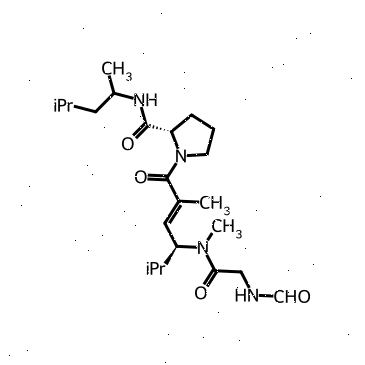 C/C(=C\[C@H](C(C)C)N(C)C(=O)CNC=O)C(=O)N1CCC[C@H]1C(=O)NC(C)CC(C)C